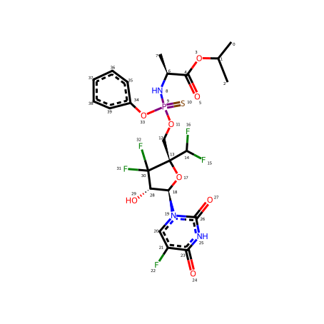 CC(C)OC(=O)[C@H](C)NP(=S)(OC[C@@]1(C(F)F)O[C@@H](n2cc(F)c(=O)[nH]c2=O)[C@H](O)C1(F)F)Oc1ccccc1